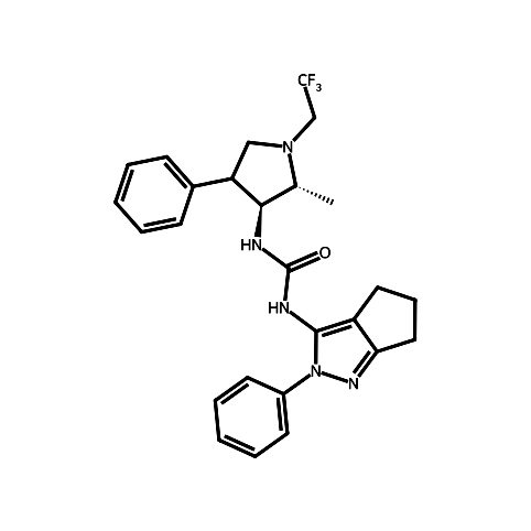 C[C@@H]1[C@@H](NC(=O)Nc2c3c(nn2-c2ccccc2)CCC3)C(c2ccccc2)CN1CC(F)(F)F